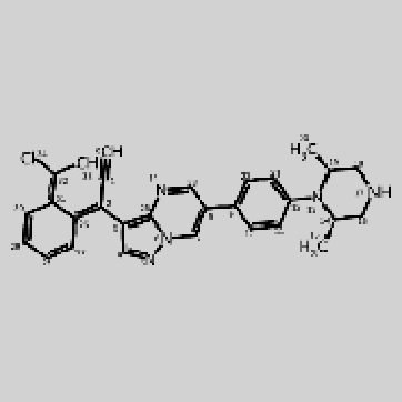 C#C/C(c1cnn2cc(-c3ccc(N4[C@H](C)CNC[C@@H]4C)cc3)cnc12)=c1/cccc/c1=C(/C)Cl